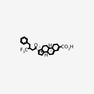 C[C@]12CC[C@H]3[C@@H](CC=C4C=C(C(=O)O)CC[C@@]43C)[C@@H]1CC[C@@H]2C(=O)CC(Cc1ccccc1)C(F)(F)F